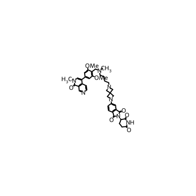 COc1cc(-c2cn(C)c(=O)c3cnccc23)cc(OC)c1CN(C)CCCCN1CC2(C1)CN(c1ccc3c(c1)C(=O)N(C1CCC(=O)NC1=O)C3=O)C2